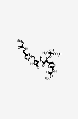 CC(C)(C)OC(=O)NCc1nnn(C[C@H]2NC(=O)[C@H]2NC(=O)C(=NOC(C)(C)C(=O)O)c2csc(NC(=O)OC(C)(C)C)n2)n1